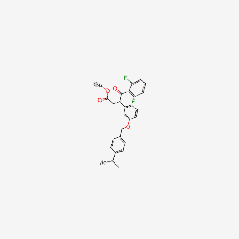 CC(=O)C(C)c1ccc(COc2cccc(C(CC(=O)OC(C)(C)C)C(=O)c3c(F)cccc3F)c2)cc1